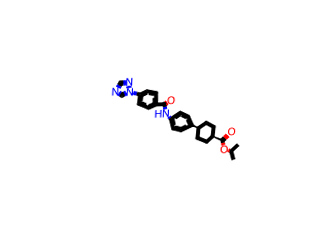 CC(C)OC(=O)[C@H]1CC[C@@H](c2ccc(NC(=O)c3ccc(-n4cncn4)cc3)cc2)CC1